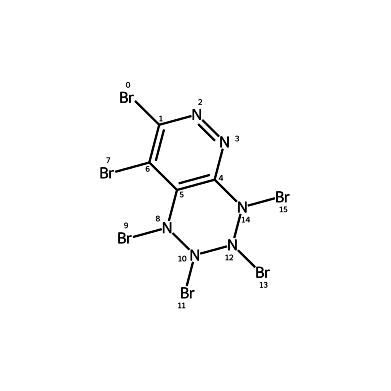 Brc1nnc2c(c1Br)n(Br)n(Br)n(Br)n2Br